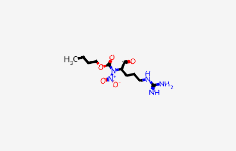 CCCCOC(=O)N(C([C]=O)CCCNC(=N)N)[N+](=O)[O-]